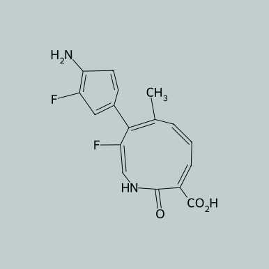 Cc1cccc(C(=O)O)c(=O)[nH]cc(F)c1-c1ccc(N)c(F)c1